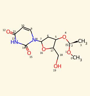 CO[C@H](C)OC1CC(n2ccc(=O)[nH]c2=O)OC1CO